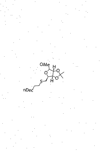 CCCCCCCCCCCCSC[C@H]1OC(OC)[C@@H]2OC(C)(C)O[C@H]12